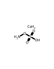 NOS(=O)(=O)O.[CaH2]